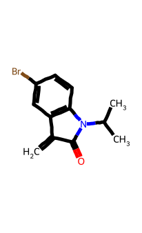 C=C1C(=O)N(C(C)C)c2ccc(Br)cc21